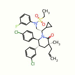 C=CC[C@@]1(C)C[C@H](c2cccc(Cl)c2)[C@@H](c2ccc(Cl)cc2)N([C@H](CN(c2cccc(F)c2)S(=O)(=O)CC)C2CC2)C1=O